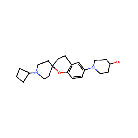 OC1CCN(c2ccc3c(c2)CCC2(CCN(C4CCC4)CC2)O3)CC1